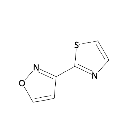 c1csc(-c2ccon2)n1